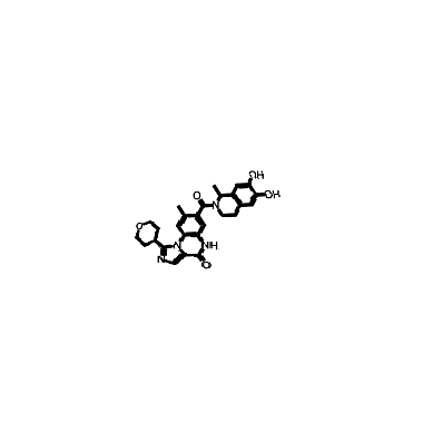 Cc1cc2c(cc1C(=O)N1CCc3cc(O)c(O)cc3C1C)[nH]c(=O)c1cnc(C3CCOCC3)n12